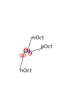 CCCCCCCC/C=C\CCCCCCCC(=O)OCC(C)CN(C(=O)CCCCCCC/C=C\CCCCCCCC)C(=O)CCCCCCC/C=C\CCCCCCCC